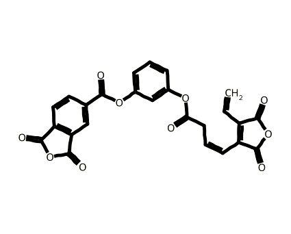 C=CC1=C(/C=C\CC(=O)Oc2cccc(OC(=O)c3ccc4c(c3)C(=O)OC4=O)c2)C(=O)OC1=O